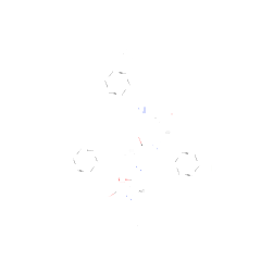 COc1cccc(CNC[C@@H](O)[C@H](Cc2cc(F)cc(F)c2)NC(=O)[C@H](CCc2ccc(F)cc2)N2CC[C@@](CC3CC3)(NC(C)=O)C2=O)c1